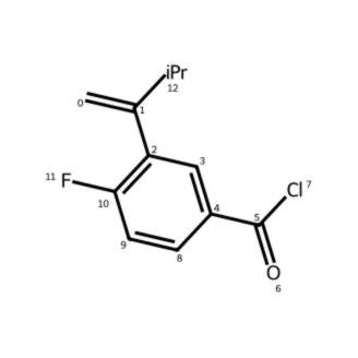 C=C(c1cc(C(=O)Cl)ccc1F)C(C)C